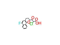 O=C(O)C(Cl)C(=O)C1CCc2cc(F)c3ccccc3c2O1